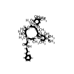 CO[C@]1(C)C[C@H](O[C@H]2[C@H](C)[C@@H](O[C@@H]3O[C@H](C)C[C@H](N(C)C)[C@H]3O)[C@](C)(O)C[C@@H](C)CN(CCC(=O)NCCCc3ccccc3)[C@H](C)[C@@H](O)[C@](C)(O)[C@@H](I)OC(=O)[C@@H]2C)O[C@@H](C)[C@@H]1O